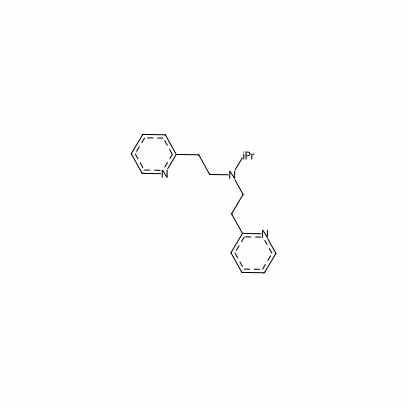 CC(C)N(CCc1ccccn1)CCc1ccccn1